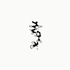 CC(C)C(O)C(=O)N[C@@H](C)C(=O)N1CCC[C@@H](C(=O)OCC(Cl)(Cl)Cl)N1